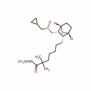 CN(O)C(=O)C(C)(C)CCCCC[C@@H]1[C@H](C[S+]([O-])CC2CC2)[C@@H]2CC[C@H]1O2